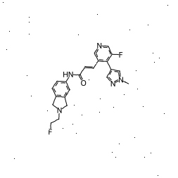 Cn1cc(-c2c(F)cncc2C=CC(=O)Nc2ccc3c(c2)CN(CCF)C3)cn1